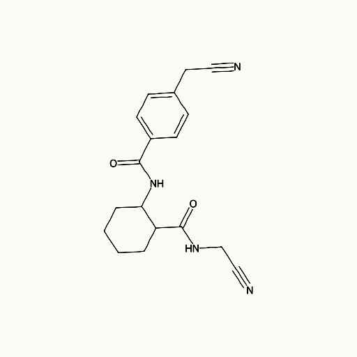 N#CCNC(=O)C1CCCCC1NC(=O)c1ccc(CC#N)cc1